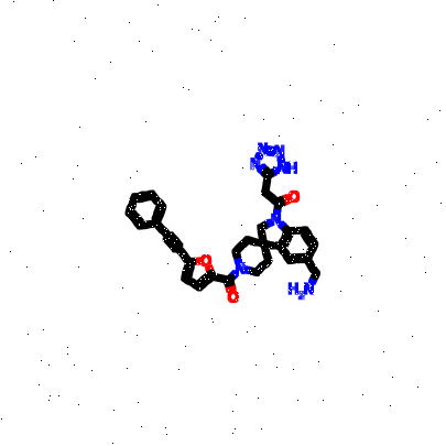 NCc1ccc2c(c1)C1(CCN(C(=O)c3ccc(C#Cc4ccccc4)o3)CC1)CN2C(=O)Cc1nnn[nH]1